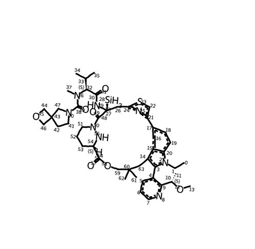 CCn1c(-c2cccnc2[C@H](C)OC)c2c3cc(ccc31)-c1csc(n1)C[C@@]([SiH3])(NC(=O)[C@H](C(C)C)N(C)C(=O)N1CCC3(COC3)C1)C(=O)N1CCC[C@H](N1)C(=O)OCC(C)(C)C2